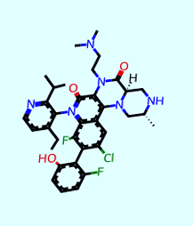 CCc1ccnc(C(C)C)c1-n1c(=O)c2c(c3cc(Cl)c(-c4c(O)cccc4F)c(F)c31)N1C[C@@H](C)NC[C@@H]1C(=O)N2CCN(C)C